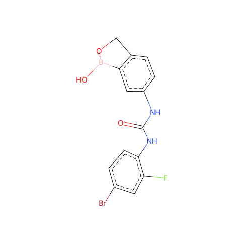 O=C(Nc1ccc2c(c1)B(O)OC2)Nc1ccc(Br)cc1F